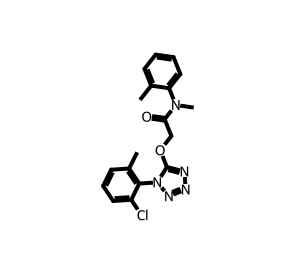 Cc1ccccc1N(C)C(=O)COc1nnnn1-c1c(C)cccc1Cl